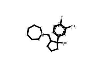 Cc1cc(C2(O)CCCC2CN2CCCCCC2)ccc1F